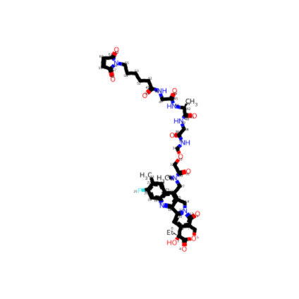 CC[C@@]1(O)C(=O)OCc2c1cc1n(c2=O)Cc2c-1nc1cc(F)c(C)cc1c2CN(C)C(=O)COCNC(=O)CNC(=O)[C@H](C)NC(=O)CNC(=O)CCCCCN1C(=O)C=CC1=O